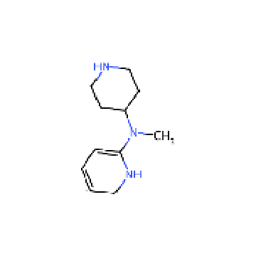 CN(C1=CC=[C]CN1)C1CCNCC1